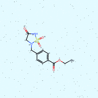 CCC(C)COC(=O)c1ccc(CN2CC(=O)NS2(=O)=O)cc1